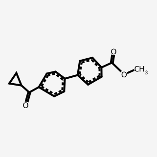 COC(=O)c1ccc(-c2ccc(C(=O)C3CC3)cc2)cc1